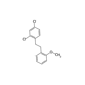 COc1ccc[c]c1CCc1ccc(Cl)cc1Cl